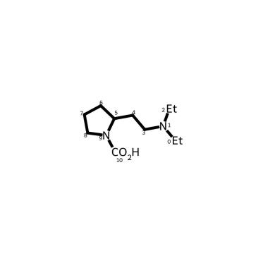 CCN(CC)CCC1CCCN1C(=O)O